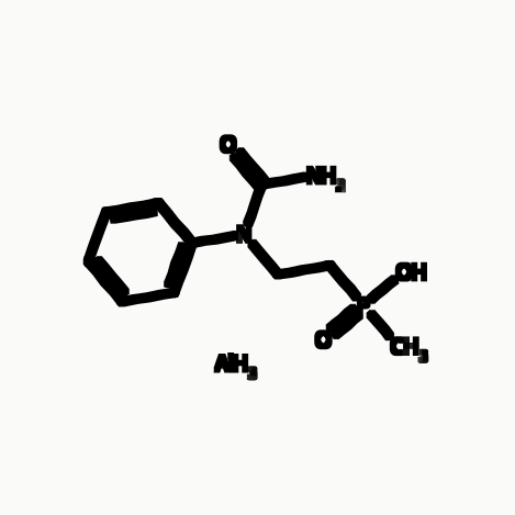 CP(=O)(O)CCN(C(N)=O)c1ccccc1.[AlH3]